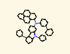 c1ccc(-c2cccc(N(c3ccc4c5c(-c6ccccc6)cccc5n(-c5ccccc5)c4c3)c3ccc4ccc5cccc6ccc3c4c56)c2)cc1